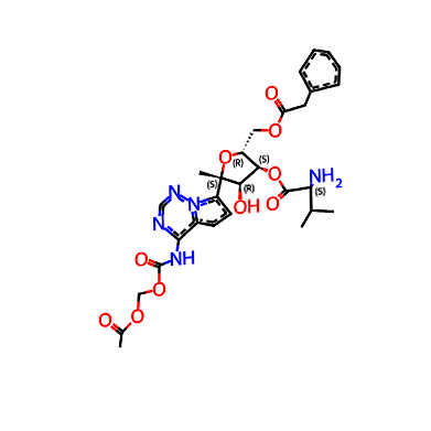 CC(=O)OCOC(=O)Nc1ncnn2c([C@]3(C)O[C@H](COC(=O)Cc4ccccc4)[C@@H](OC(=O)[C@@H](N)C(C)C)[C@H]3O)ccc12